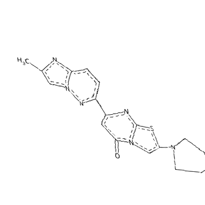 Cc1cn2nc(-c3cc(=O)n4cc(N5CCNCC5)sc4n3)ccc2n1